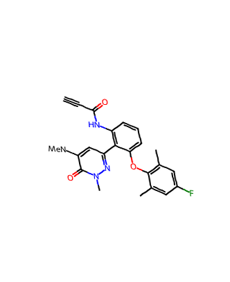 C#CC(=O)Nc1cccc(Oc2c(C)cc(F)cc2C)c1-c1cc(NC)c(=O)n(C)n1